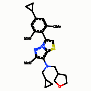 COc1cc(C2CC2)cc(OC)c1-c1csc2c(N(CC3CC3)CC3CCOC3)c(OC)nn12